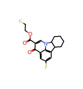 O=C(OCCF)c1cn2c3c(cc(F)cc3c1=O)C1CCCCC12